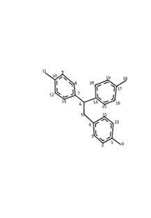 Cc1ccc([CH]C(c2ccc(C)cc2)c2ccc(C)cc2)cc1